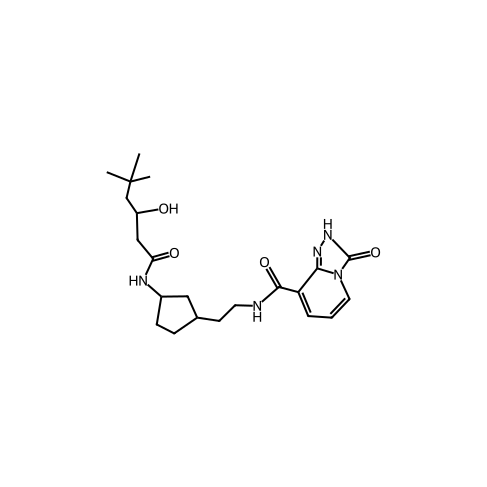 CC(C)(C)CC(O)CC(=O)NC1CCC(CCNC(=O)c2cccn3c(=O)[nH]nc23)C1